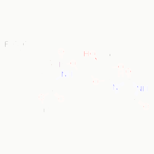 CCOC(=O)CCS[P@](=O)(N[C@@H](C)C(=O)OC(C)C)OC[C@H]1O[C@@H](n2ccc(=O)[nH]c2=O)[C@](C)(O)[C@@H]1O